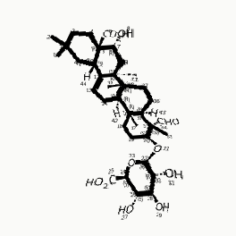 CC1(C)CC[C@]2(C(=O)O)[C@H](O)C[C@]3(C)C(=CC[C@@H]4[C@@]5(C)CC[C@H](O[C@@H]6O[C@H](C(=O)O)[C@@H](O)[C@H](O)[C@H]6O)[C@@](C)(C=O)[C@@H]5CC[C@]43C)[C@@H]2C1